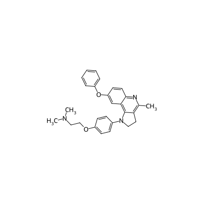 Cc1nc2ccc(Oc3ccccc3)cc2c2c1CCN2c1ccc(OCCN(C)C)cc1